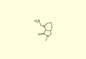 CN1CC2CCCN(CN)C2C1=O